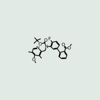 COC(=O)c1ccccc1-c1ccc(F)c(N(Cc2ncc(C)c(OC)c2C)C(=O)OC(C)(C)C)c1